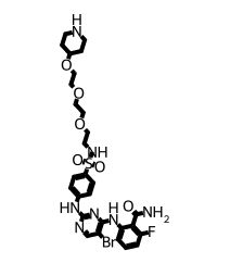 NC(=O)c1c(F)cccc1Nc1nc(Nc2ccc(S(=O)(=O)NCCOCCOCCOC3CCNCC3)cc2)ncc1Br